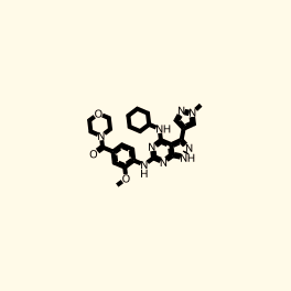 COc1cc(C(=O)N2CCOCC2)ccc1Nc1nc(NC2CCCCC2)c2c(-c3cnn(C)c3)n[nH]c2n1